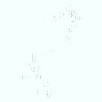 Cc1ncsc1-c1ccc(CNC(=O)[C@@H]2C[C@@H](O)CN2C(=O)[C@@H](NC(=O)CCOCCOCCOCCC(=O)N2CCN(c3ccc(Nc4nc5cccc(-c6ccc(S(C)(=O)=O)cc6)n5n4)cc3)CC2)C(C)(C)C)cc1